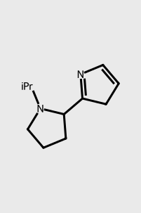 CC(C)N1CCCC1C1=NC=CC1